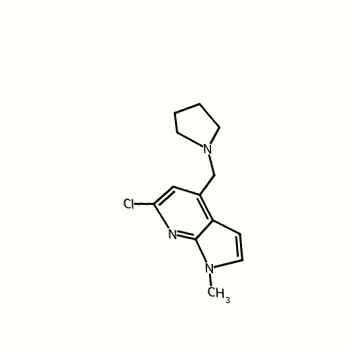 Cn1ccc2c(CN3CCCC3)cc(Cl)nc21